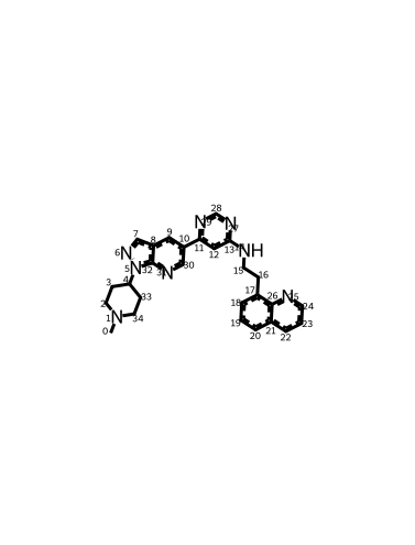 CN1CCC(n2ncc3cc(-c4cc(NCCc5cccc6cccnc56)ncn4)cnc32)CC1